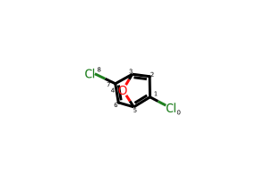 Clc1cc2oc1cc2Cl